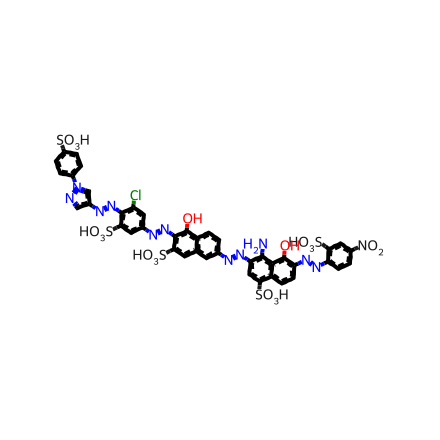 Nc1c(N=Nc2ccc3c(O)c(N=Nc4cc(Cl)c(N=Nc5cnn(-c6ccc(S(=O)(=O)O)cc6)c5)c(S(=O)(=O)O)c4)c(S(=O)(=O)O)cc3c2)cc(S(=O)(=O)O)c2ccc(N=Nc3ccc([N+](=O)[O-])cc3S(=O)(=O)O)c(O)c12